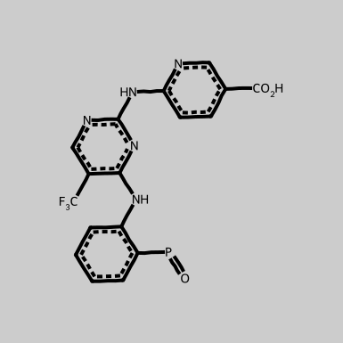 O=Pc1ccccc1Nc1nc(Nc2ccc(C(=O)O)cn2)ncc1C(F)(F)F